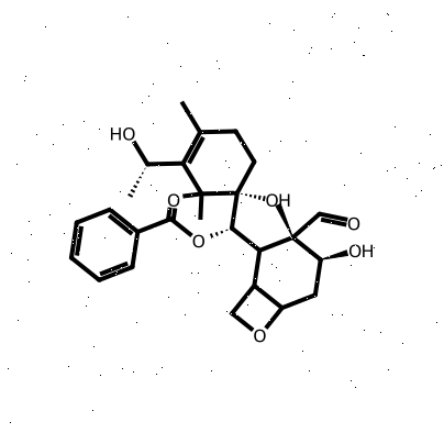 CC1=C([C@H](C)O)C(C)(C)[C@](O)([C@@H](OC(=O)c2ccccc2)C2C3COC3C[C@H](O)[C@@]2(C)C=O)CC1